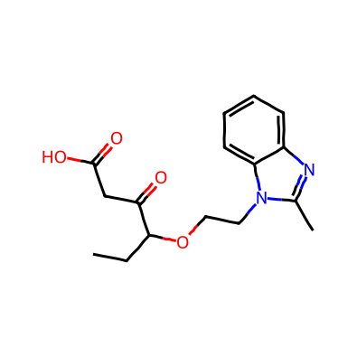 CCC(OCCn1c(C)nc2ccccc21)C(=O)CC(=O)O